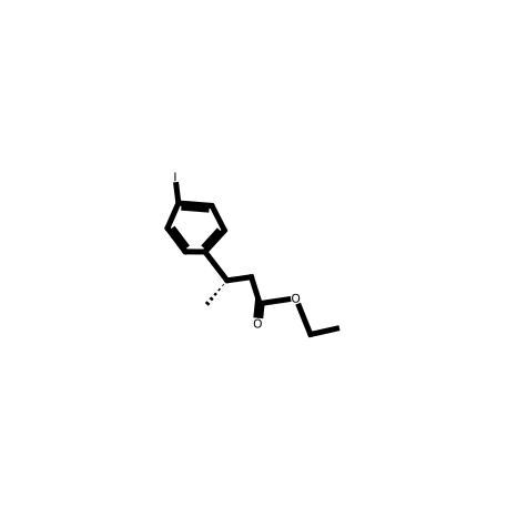 CCOC(=O)C[C@H](C)c1ccc(I)cc1